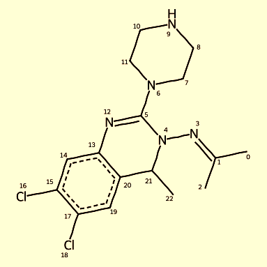 CC(C)=NN1C(N2CCNCC2)=Nc2cc(Cl)c(Cl)cc2C1C